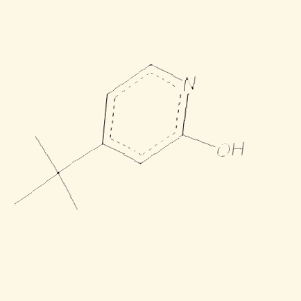 CC(C)(C)c1ccnc(O)c1